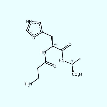 C[C@H](NC(=O)[C@H](Cc1c[nH]cn1)NC(=O)CCN)C(=O)O